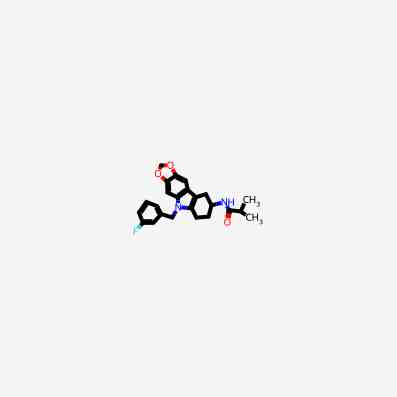 CC(C)C(=O)NC1CCc2c(c3cc4c(cc3n2Cc2cccc(F)c2)OCO4)C1